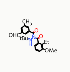 CCc1c(OC)cccc1C(=O)N(NC(C)(C)C)C(=O)c1cc(C)cc(C=O)c1